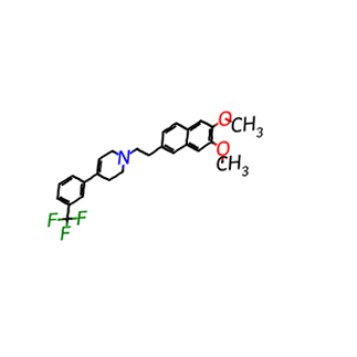 COc1cc2ccc(CCN3CC=C(c4cccc(C(F)(F)F)c4)CC3)cc2cc1OC